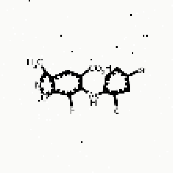 Cc1noc2c(F)c([AsH]c3ccc(Br)cc3Cl)c(C(=O)O)cc12